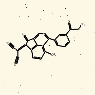 COC(=O)c1cccc(-c2ccc3c(=O)c(=C(C#N)C#N)c4ccc(C)c2c34)c1